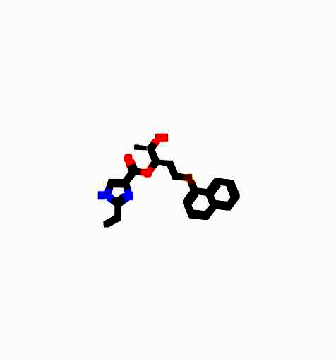 CCc1nc(C(=O)O[C@H](CCSc2cccc3ccccc23)[C@H](C)O)c[nH]1